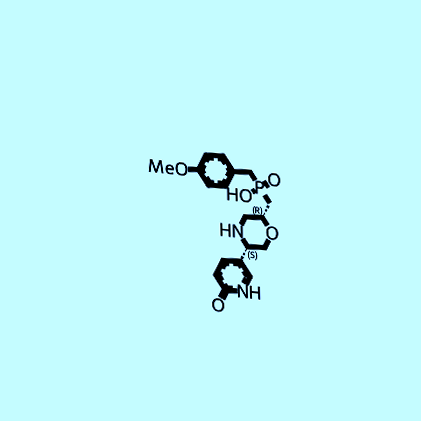 COc1ccc(CP(=O)(O)C[C@H]2CN[C@@H](c3ccc(=O)[nH]c3)CO2)cc1